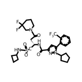 O=C(N[C@@H](CC(=O)N1CCCC(F)(F)C1)CS(=O)(=O)NC1CCC1)c1cc(-c2ccccc2C(F)(F)F)n(C2CCCC2)n1